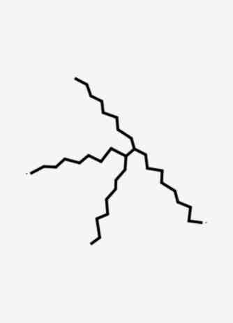 [CH2]CCCCCCCCC(CCCCCCCC)C(CCCCCCC[CH2])CCCCCCCC